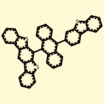 c1ccc2c(c1)sc1cc(-c3c4ccccc4c(-c4c5sc6ccccc6c5cc5c4sc4ccccc45)c4ccccc34)ccc12